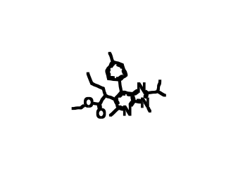 CCCC(C(=O)OCC)c1c(C)nc2c(nc(C(C)C)n2C)c1-c1ccc(C)cc1